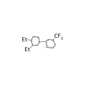 CCc1ccc(-c2[c]ccc(C(F)(F)F)c2)cc1CC